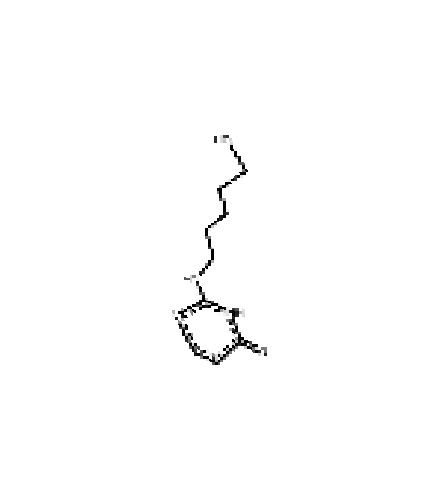 O=c1ccnc(NCCCCCO)[nH]1